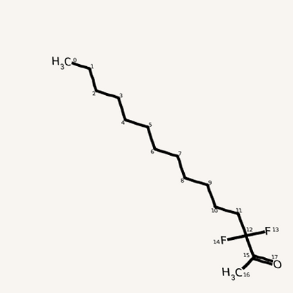 CCCCCCCCCCCCC(F)(F)C(C)=O